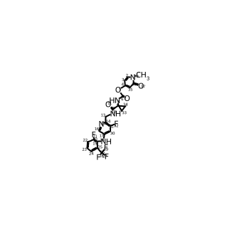 Cn1ccc(OC(=O)NC2(C(=O)NCc3ncc(Nc4c(F)cccc4C(F)(F)F)cc3F)CC2)cc1=O